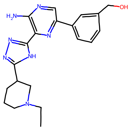 CCN1CCCC(c2nnc(-c3nc(-c4cccc(CO)c4)cnc3N)[nH]2)C1